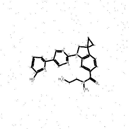 CCCN(C)C(=O)c1ccc2c(c1)N(c1ncc(-c3cccc(O)n3)cn1)CC21CC1